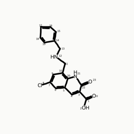 O=C(O)c1cc2cc(Cl)cc(CNCc3ccccc3)c2[nH]c1=O